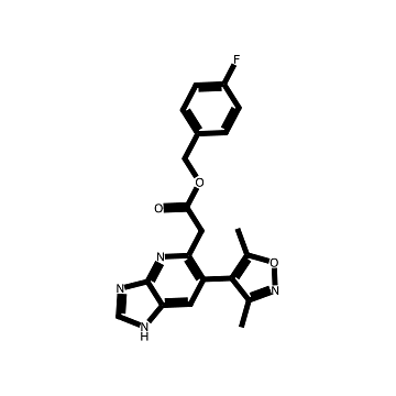 Cc1noc(C)c1-c1cc2[nH]cnc2nc1CC(=O)OCc1ccc(F)cc1